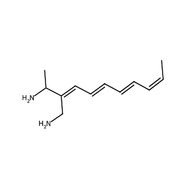 C/C=C\C=CC=C/C=C(\CN)C(C)N